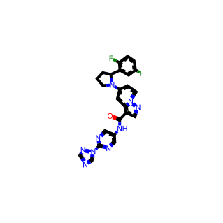 O=C(Nc1cnc(-n2cncn2)nc1)c1cnn2ccc(N3CCCC3c3cc(F)ccc3F)cc12